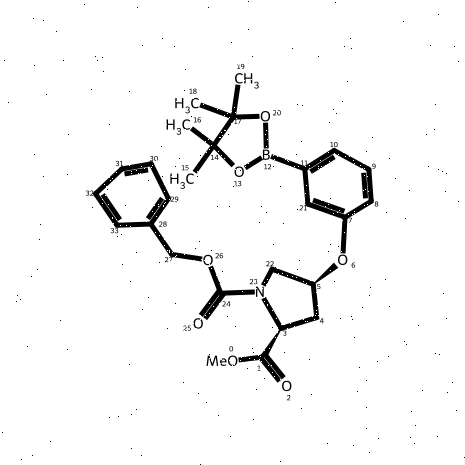 COC(=O)[C@@H]1C[C@H](Oc2cccc(B3OC(C)(C)C(C)(C)O3)c2)CN1C(=O)OCc1ccccc1